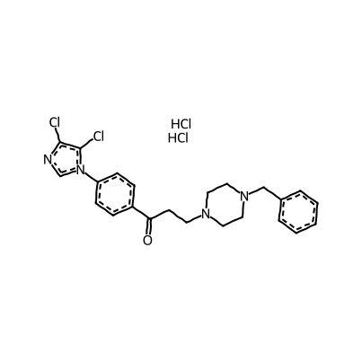 Cl.Cl.O=C(CCN1CCN(Cc2ccccc2)CC1)c1ccc(-n2cnc(Cl)c2Cl)cc1